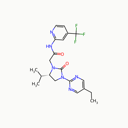 CCc1cnc(N2C[C@H](C(C)C)N(CC(=O)Nc3cc(C(F)(F)F)ccn3)C2=O)nc1